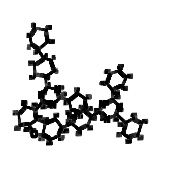 c1ccc(-c2ccc(-c3nc(-c4ccccc4)nc(-c4cccc5oc6ccc(-c7ccc(-c8nc(-c9ccccc9)nc(-c9ccccc9)n8)cc7)cc6c45)n3)cc2)cc1